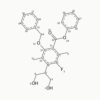 Cc1c(F)c(C(CO)CO)c(C)c(OCc2ccccc2)c1C(=O)Oc1ccccc1